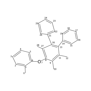 Cc1ccccc1Oc1c(C)c(C)c(-c2ccccc2)c(-c2ccccc2)c1C